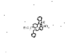 CCOC(=O)N1CCC(n2c(=O)[nH]c3ccccc32)CC1N(Cc1ccccc1)Cc1ccc([N+](=O)[O-])cc1